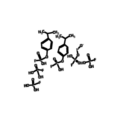 CC(C)c1ccc(OP(=O)(O)F)cc1.CC(C)c1ccc(OP(=O)(O)F)cc1.O=P(O)(F)O[I+][O-].O=P(O)(O)F.O=P(O)(O)F.O=P(O)(O)F